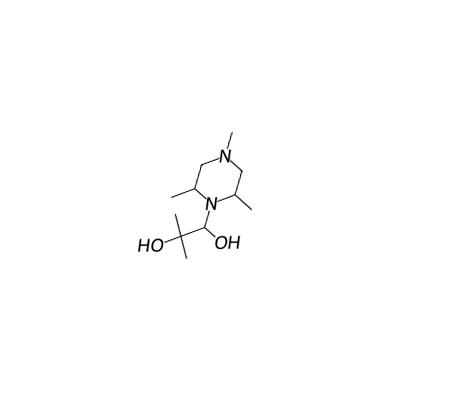 CC1CN(C)CC(C)N1C(O)C(C)(C)O